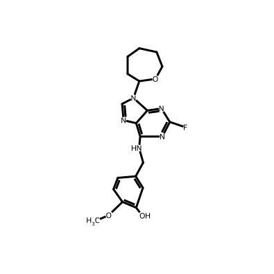 COc1ccc(CNc2nc(F)nc3c2ncn3C2CCCCCO2)cc1O